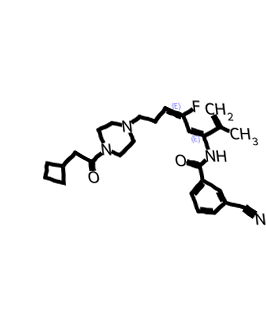 C=C(C)/C(=C\C(F)=C/CCN1CCN(C(=O)CC2CCC2)CC1)NC(=O)c1cccc(C#N)c1